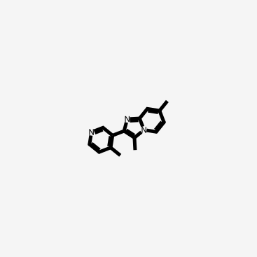 Cc1ccn2c(C)c(-c3cnccc3C)nc2c1